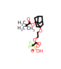 CC(C)(C)C(=O)OC12CC3CC(CC(OCCOC(=O)C(F)(F)S(=O)(=O)O)(C3)C1)C2